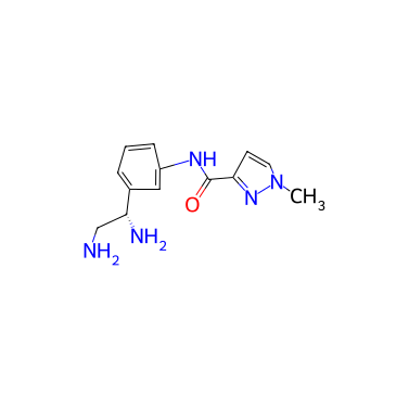 Cn1ccc(C(=O)Nc2cccc([C@H](N)CN)c2)n1